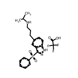 CC(C)NCCCc1ccc2[nH]nc(S(=O)(=O)c3ccccc3)c2c1.O=C(O)C(F)(F)F